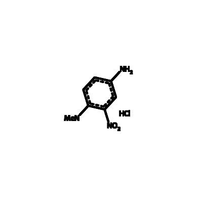 CNc1ccc(N)cc1[N+](=O)[O-].Cl